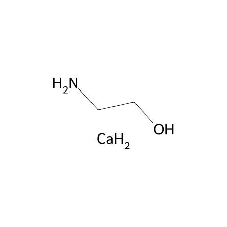 NCCO.[CaH2]